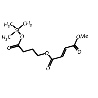 COC(=O)C=CC(=O)OCCCC(=O)O[Si](C)(C)C